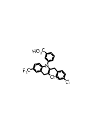 CC1=C(Cc2ccc(Cl)cc2)N(c2cccc(C(=O)O)c2)c2ccc(C(F)(F)F)cc2C1